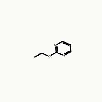 ICOc1ncccn1